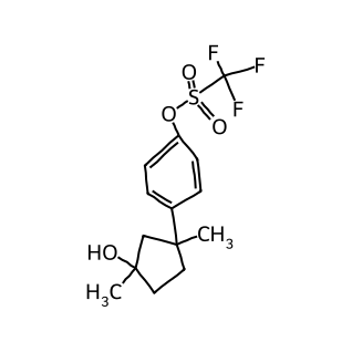 CC1(O)CCC(C)(c2ccc(OS(=O)(=O)C(F)(F)F)cc2)C1